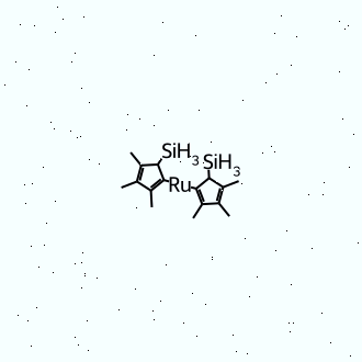 CC1=C(C)C([SiH3])[C]([Ru][C]2=C(C)C(C)=C(C)C2[SiH3])=C1C